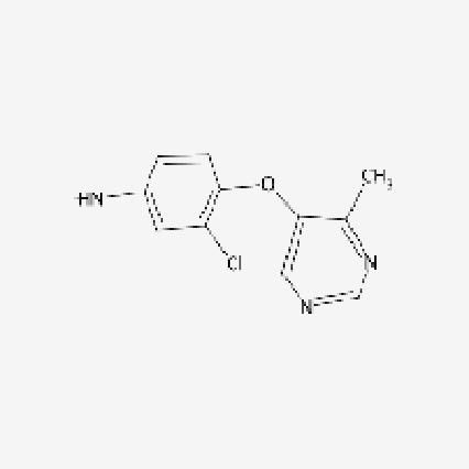 Cc1ncncc1Oc1ccc([NH])cc1Cl